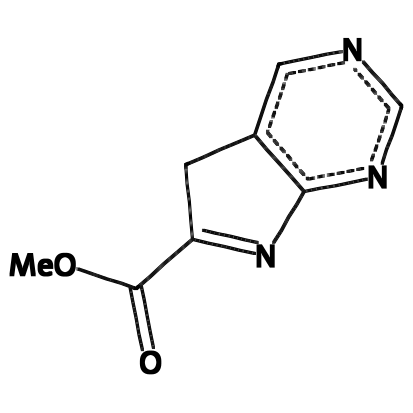 COC(=O)C1=Nc2ncncc2C1